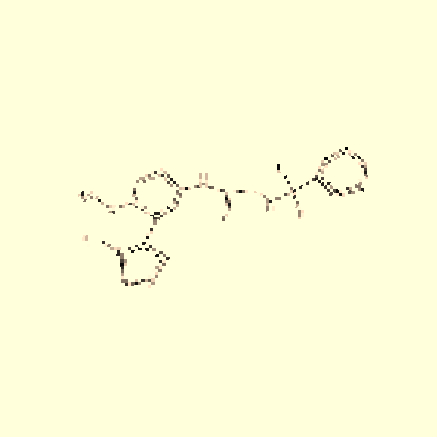 COc1ccc(NC(=O)CNC(F)(F)c2ccccc2)cc1-c1ccnn1C